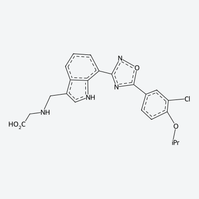 CC(C)Oc1ccc(-c2nc(-c3cccc4c(CNCC(=O)O)c[nH]c34)no2)cc1Cl